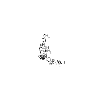 Cc1ccc(N=Nc2ccc3cc(S(=O)(=O)O)c(N=Nc4ccc(S(=O)(=O)CCOS(=O)(=O)O)cc4)c(N)c3c2O)cc1